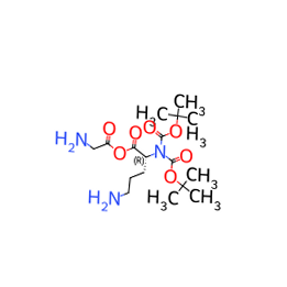 CC(C)(C)OC(=O)N(C(=O)OC(C)(C)C)[C@H](CCCN)C(=O)OC(=O)CN